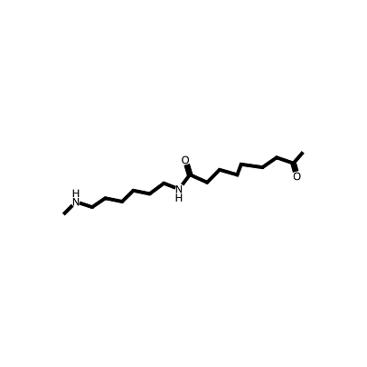 CNCCCCCCNC(=O)CCCCCCC(C)=O